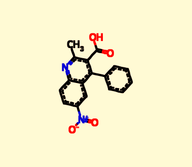 Cc1nc2ccc([N+](=O)[O-])cc2c(-c2ccccc2)c1C(=O)O